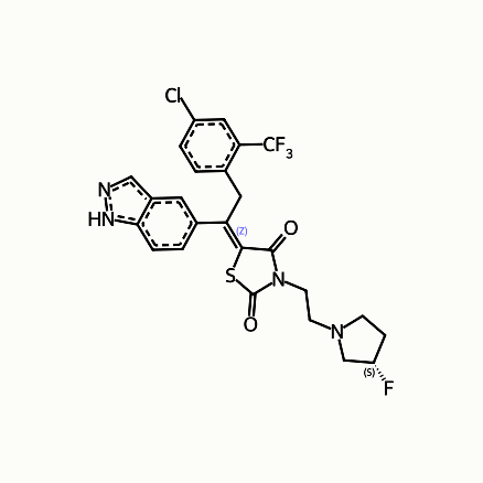 O=C1S/C(=C(/Cc2ccc(Cl)cc2C(F)(F)F)c2ccc3[nH]ncc3c2)C(=O)N1CCN1CC[C@H](F)C1